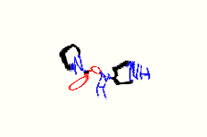 O=C(ONC1CCNCC1)N1CCCC1